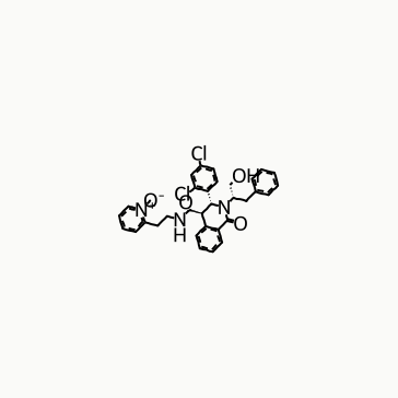 O=C(NCCc1cccc[n+]1[O-])[C@@H]1c2ccccc2C(=O)N([C@H](CO)Cc2ccccc2)[C@H]1c1ccc(Cl)cc1Cl